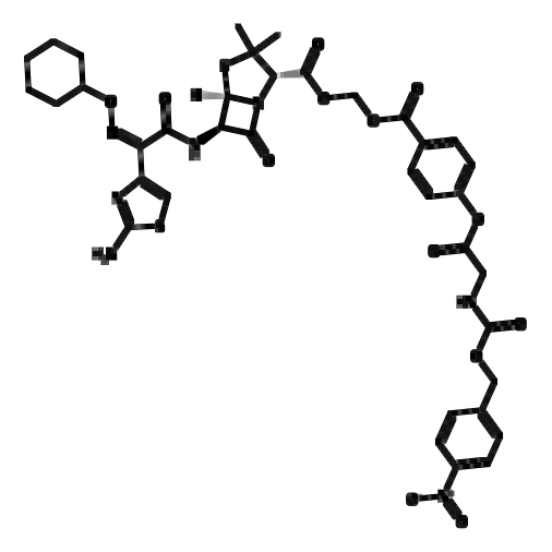 CC1(C)S[C@@H]2[C@H](NC(=O)/C(=N\OC3CCCCC3)c3csc(N)n3)C(=O)N2[C@H]1C(=O)OCOC(=O)c1ccc(OC(=O)CNC(=O)OCc2ccc([N+](=O)[O-])cc2)cc1